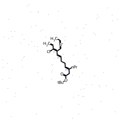 C=C/C(Cl)=C(C=[N+]=CC)/C=C/CC/C=C(\CCC)CC(=O)OC(C)(C)C